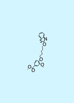 COC(=O)c1ccc(OCCCCCOc2nc3ccccc3s2)c(OC)c1